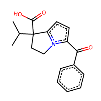 CC(C)C1(C(=O)O)CCn2c(C(=O)c3ccccc3)ccc21